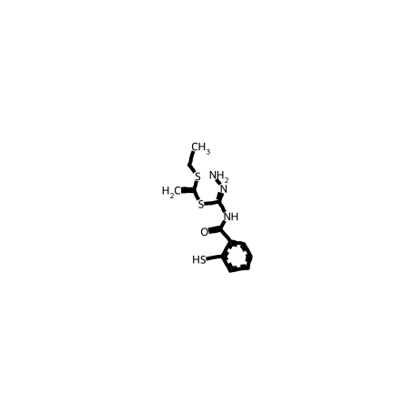 C=C(SCC)S/C(=N\N)NC(=O)c1ccccc1S